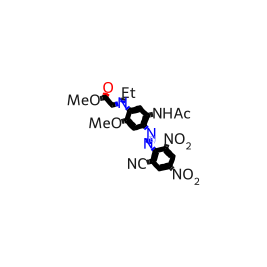 CCN(CC(=O)OC)c1cc(NC(C)=O)c(/N=N/c2c(C#N)cc([N+](=O)[O-])cc2[N+](=O)[O-])cc1OC